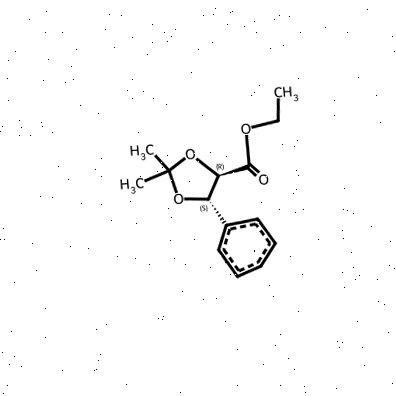 CCOC(=O)[C@@H]1OC(C)(C)O[C@H]1c1ccccc1